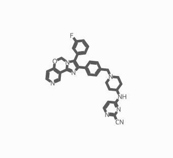 N#Cc1nccc(NC2CCN(Cc3ccc(-c4nc5n(c4-c4cccc(F)c4)COc4ccncc4-5)cc3)CC2)n1